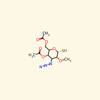 CO[C@H]1C(N=[N+]=[N-])[C@@H](OC(C)=O)C(COC(C)=O)O[C@@H]1S